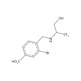 O=C(O)c1ccc(CNC(CO)C(F)(F)F)c(Br)c1